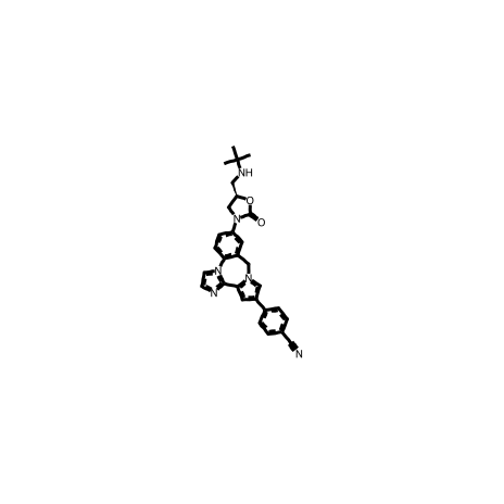 CC(C)(C)NC[C@@H]1CN(c2ccc3c(c2)Cn2cc(-c4ccc(C#N)cc4)cc2-c2nccn2-3)C(=O)O1